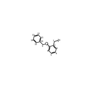 ICc1ccccc1OCc1ccccc1